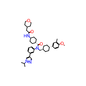 COc1ccc([C@H]2CC[C@H](CN(c3cccc(-c4cnn(C(C)C)c4)c3)C(=O)[C@H]3CC[C@H](NC(=O)CC4CCOCC4)CC3)CC2)cc1C